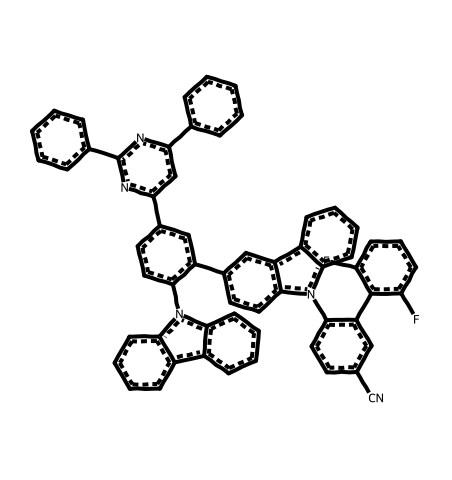 N#Cc1ccc(-n2c3ccccc3c3cc(-c4cc(-c5cc(-c6ccccc6)nc(-c6ccccc6)n5)ccc4-n4c5ccccc5c5ccccc54)ccc32)c(-c2c(F)cccc2F)c1